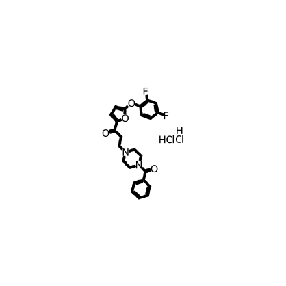 Cl.Cl.O=C(CCN1CCN(C(=O)c2ccccc2)CC1)c1ccc(Oc2ccc(F)cc2F)o1